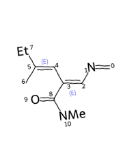 C=N/C=C(\C=C(/C)CC)C(=O)NC